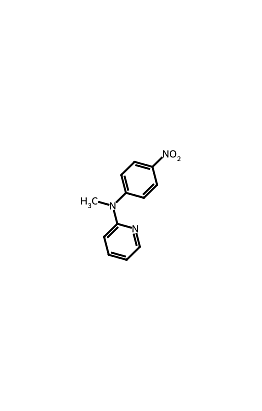 CN(c1ccc([N+](=O)[O-])cc1)c1ccccn1